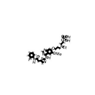 CCN(CCCOc1cc2ncnc(Nc3ncc(CC(=O)Nc4ccccc4F)s3)c2cc1OC)CCOP(=O)(O)O